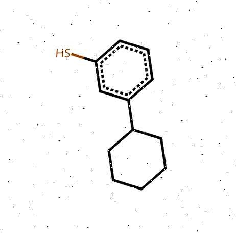 Sc1cccc(C2CCCCC2)c1